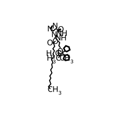 CCCCCCCCCCCCCCCCCC(=O)OCC1(NCCCCO[Si](c2ccccc2)(c2ccccc2)C(C)(C)C)N=C2N=CN=C2C(=O)N1